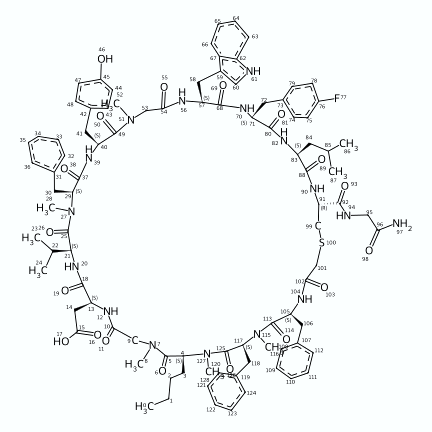 CCCC[C@H]1C(=O)N(C)CC(=O)N[C@@H](CC(=O)O)C(=O)N[C@@H](C(C)C)C(=O)N(C)[C@@H](Cc2ccccc2)C(=O)N[C@@H](Cc2ccc(O)cc2)C(=O)N(C)CC(=O)N[C@@H](Cc2c[nH]c3ccccc23)C(=O)N[C@@H](Cc2ccc(F)cc2)C(=O)N[C@@H](CC(C)C)C(=O)N[C@H](C(=O)NCC(N)=O)CSCC(=O)N[C@@H](Cc2ccccc2)C(=O)N(C)[C@@H](Cc2ccccc2)C(=O)N1C